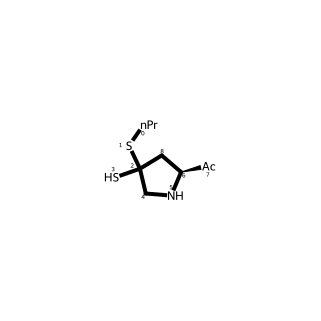 CCCSC1(S)CN[C@H](C(C)=O)C1